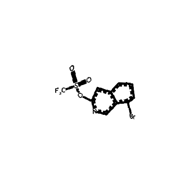 O=S(=O)(Oc1cc2cccc(Br)c2cn1)C(F)(F)F